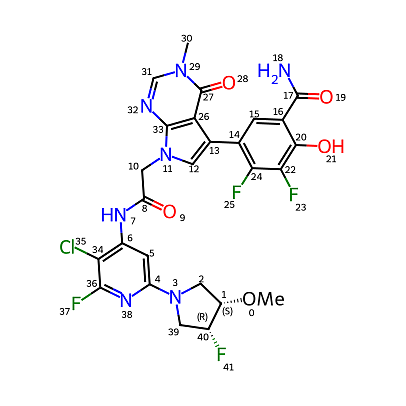 CO[C@H]1CN(c2cc(NC(=O)Cn3cc(-c4cc(C(N)=O)c(O)c(F)c4F)c4c(=O)n(C)cnc43)c(Cl)c(F)n2)C[C@H]1F